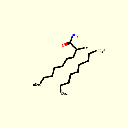 CCCCCCCCCCCCCCCCC(CC)C(N)=O.CCCCCCCCCCCCCCCCCC(=O)O